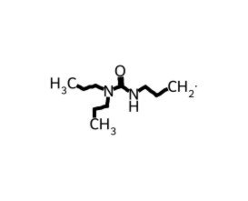 [CH2]CCNC(=O)N(CCC)CCC